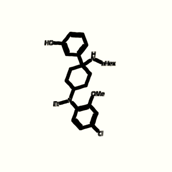 CCCCCCNC1(c2cccc(O)c2)CCC(N(CC)c2ccc(Cl)cc2OC)CC1